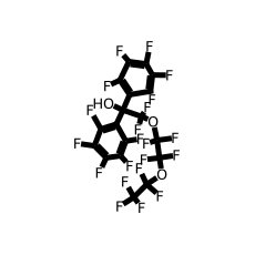 OC(c1c(F)c(F)c(F)c(F)c1F)(c1c(F)c(F)c(F)c(F)c1F)C(F)(F)OC(F)(F)C(F)(F)OC(F)(F)C(F)(F)F